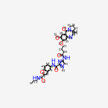 CCCNC(=O)c1cc2cc(NC(=O)c3nc(NC(=O)CCCOc4cc5c(cc4OC)C(=O)N4CCC[C@H]4C=N5)cn3C)ccc2o1